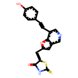 O=C1NC(=S)S/C1=C\c1cc2cncc(C#Cc3ccc(O)cc3)c2o1